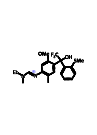 CCN(C)/C=N/c1cc(OC)c(C(O)(c2ccccc2SC)C(F)(F)F)cc1C